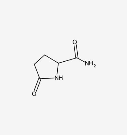 NC(=O)C1CCC(=O)N1